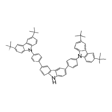 CC(C)(C)c1ccc2c(c1)c1cc(C(C)(C)C)ccc1n2-c1ccc(-c2ccc3[nH]c4ccc(-c5ccc(-n6c7ccc(C(C)(C)C)cc7c7cc(C(C)(C)C)ccc76)cc5)cc4c3c2)cc1